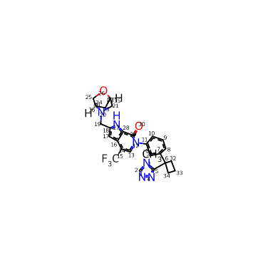 Cn1cnnc1C1(c2cccc(-n3cc(C(F)(F)F)c4cc(CN5C[C@H]6C[C@@H]5CO6)[nH]c4c3=O)c2)CCC1